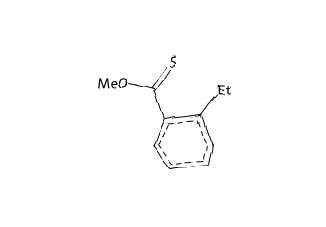 CCc1ccccc1C(=S)OC